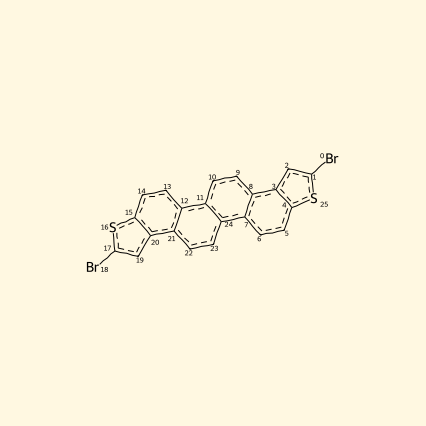 Brc1cc2c(ccc3c2ccc2c4ccc5sc(Br)cc5c4ccc32)s1